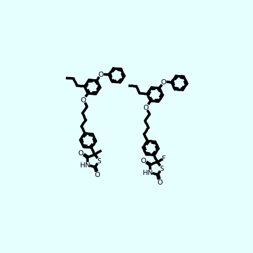 CCCc1cc(Oc2ccccc2)ccc1OCCCCc1ccc(C2(C)SC(=O)NC2=O)cc1.CCCc1cc(Oc2ccccc2)ccc1OCCCCc1ccc(C2(F)SC(=O)NC2=O)cc1